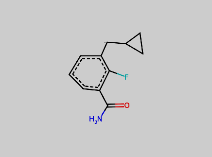 NC(=O)c1cccc([CH]C2CC2)c1F